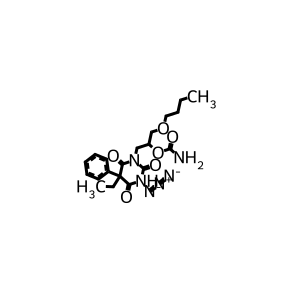 CCCCOCC(CN1C(=O)NC(=O)C(CC)(c2ccccc2)C1=O)OC(N)=O.[N-]=[N+]=[N-]